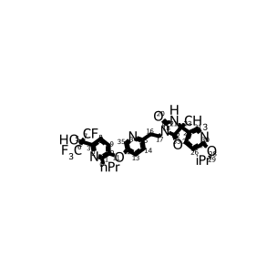 CCCc1nc(C(O)(C(F)(F)F)C(F)(F)F)ccc1Oc1ccc(CCN2C(=O)NC(C)(c3ccc(OC(C)C)nc3)C2=O)nc1